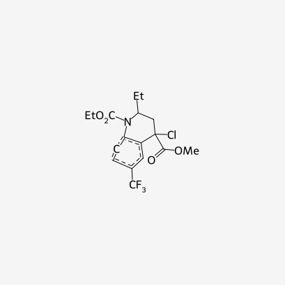 CCOC(=O)N1c2ccc(C(F)(F)F)cc2C(Cl)(C(=O)OC)CC1CC